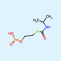 CC(C)NC(=O)SCCO[PH](=O)O